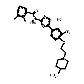 CCCCN(C(=O)c1cccc(F)c1Cl)c1nnc(-c2ccc(OCCN3CCC(C(=O)O)CC3)c(C(F)(F)F)c2)s1.Cl